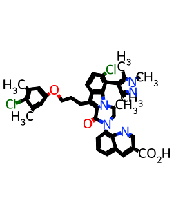 Cc1cc(OCCCc2c3n(c4c(-c5c(C)nn(C)c5C)c(Cl)ccc24)C(C)CN(c2cccc4cc(C(=O)O)cnc24)C3=O)cc(C)c1Cl